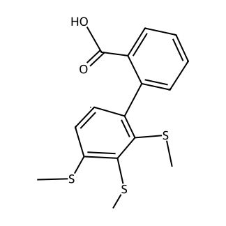 CSc1c[c]c(-c2ccccc2C(=O)O)c(SC)c1SC